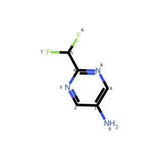 Nc1cnc(C(F)F)nc1